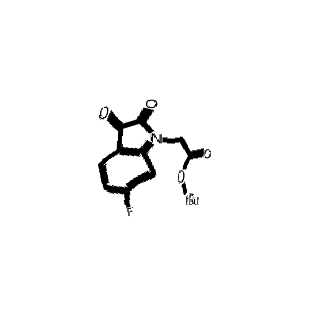 CC(C)(C)OC(=O)CN1C(=O)C(=O)c2ccc(F)cc21